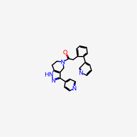 O=C(Cc1ccccc1-c1cccnc1)N1CCc2[nH]nc(-c3ccncc3)c2C1